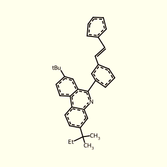 CCC(C)(C)c1ccc2c(c1)nc(-c1cccc(/C=C/c3ccccc3)c1)c1cc(C(C)(C)C)ccc12